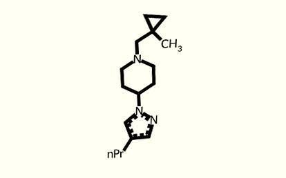 CCCc1cnn(C2CCN(CC3(C)CC3)CC2)c1